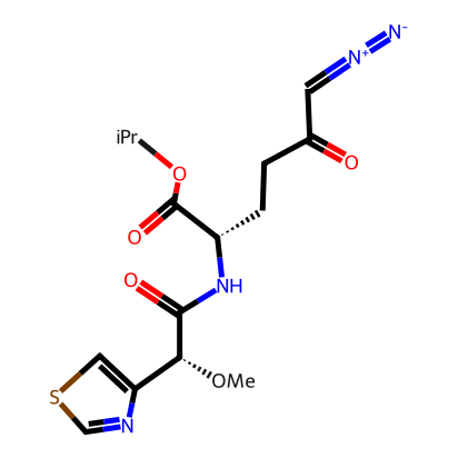 CO[C@@H](C(=O)N[C@@H](CCC(=O)C=[N+]=[N-])C(=O)OC(C)C)c1cscn1